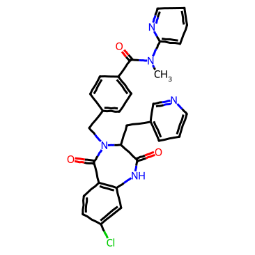 CN(C(=O)c1ccc(CN2C(=O)c3ccc(Cl)cc3NC(=O)C2Cc2cccnc2)cc1)c1ccccn1